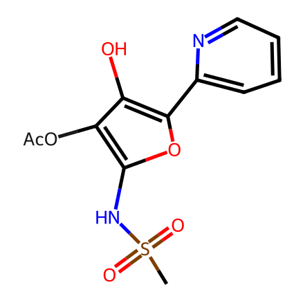 CC(=O)Oc1c(NS(C)(=O)=O)oc(-c2ccccn2)c1O